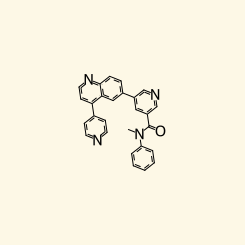 CN(C(=O)c1cncc(-c2ccc3nccc(-c4ccncc4)c3c2)c1)c1ccccc1